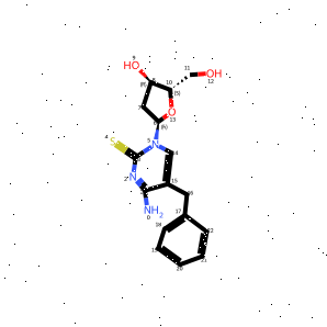 Nc1nc(=S)n([C@H]2C[C@@H](O)[C@H](CO)O2)cc1Cc1ccccc1